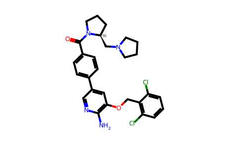 Nc1ncc(-c2ccc(C(=O)N3CCC[C@H]3CN3CCCC3)cc2)cc1OCc1c(Cl)cccc1Cl